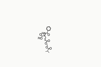 CC(C)C(=O)OCOC(=O)SC[C@H](NC(=O)c1ccccc1)C(=O)O